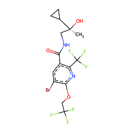 C[C@](O)(CNC(=O)c1cc(Br)c(OCC(F)(F)F)nc1C(F)(F)F)C1CC1